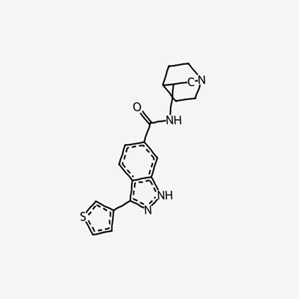 O=C(NC1CN2CCC1CC2)c1ccc2c(-c3ccsc3)n[nH]c2c1